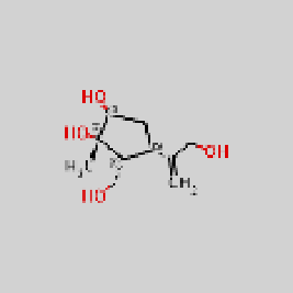 C=C(CO)[C@H]1C[C@H](O)[C@@](C)(O)[C@H]1CO